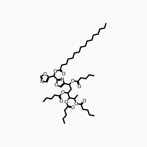 CCCCCCCCCCCCCCCC(=O)OC(c1cnco1)c1nc(C(CC(OC(=O)CCCC)C(OC(=O)CCCC)C(C)OC(=O)CCCC)OC(=O)CCCC)co1